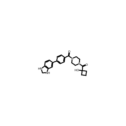 O=C(c1ccc(-c2ccc3c(c2)NCN3)cc1)N1CCN(C(=O)C2(O)CCC2)CC1